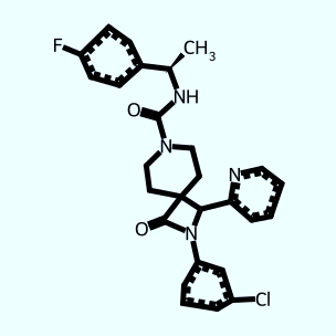 C[C@@H](NC(=O)N1CCC2(CC1)C(=O)N(c1cccc(Cl)c1)C2c1ccccn1)c1ccc(F)cc1